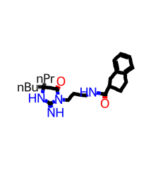 CCCCC1(CCC)NC(=N)N(CCCNC(=O)C2CCc3ccccc3C2)C1=O